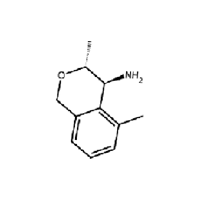 Cc1cccc2c1[C@H](N)[C@@H](C)OC2